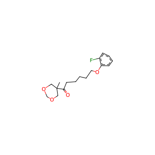 CC1(C(=O)CCCCCOc2ccccc2F)COCOC1